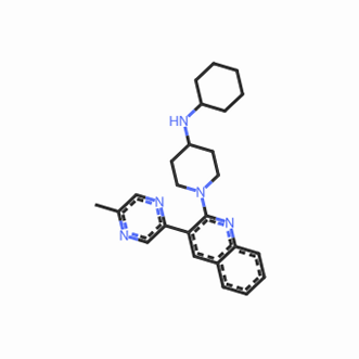 Cc1cnc(-c2cc3ccccc3nc2N2CCC(NC3CCCCC3)CC2)cn1